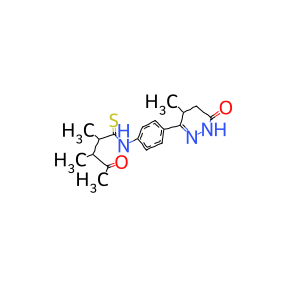 CC(=O)C(C)C(C)C(=S)Nc1ccc(C2=NNC(=O)CC2C)cc1